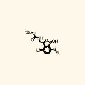 CCOc1ccc(Cl)c2c1B(O)O[C@@H]2CNC(=O)OC(C)(C)C